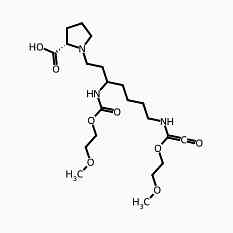 COCCOC(=O)NC(CCCCNC(=C=O)OCCOC)CCN1CCC[C@H]1C(=O)O